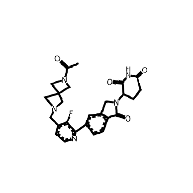 CC(=O)N1CC2(CN(Cc3ccnc(-c4ccc5c(c4)CN(C4CCC(=O)NC4=O)C5=O)c3F)C2)C1